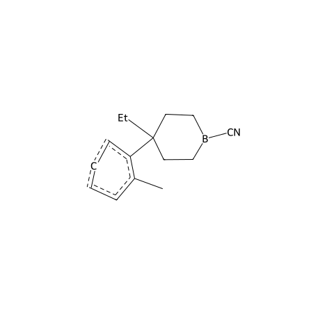 CCC1(c2ccccc2C)CCB(C#N)CC1